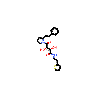 O=C(NCCc1cccs1)[C@H](O)[C@@H](O)C(=O)N1CCCC1CCc1ccccc1